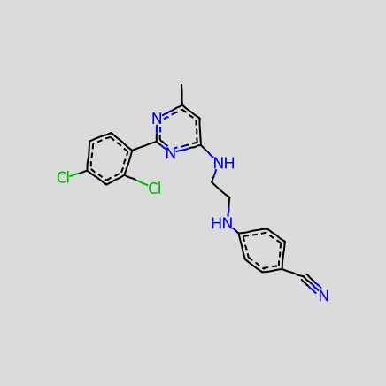 Cc1cc(NCCNc2ccc(C#N)cc2)nc(-c2ccc(Cl)cc2Cl)n1